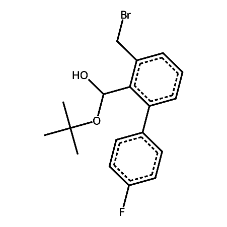 CC(C)(C)OC(O)c1c(CBr)cccc1-c1ccc(F)cc1